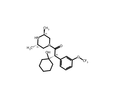 C[C@H]1CN(C(=O)[C@H](c2cccc(OC(F)(F)F)c2)C2(O)CCCCC2)C[C@H](C)N1